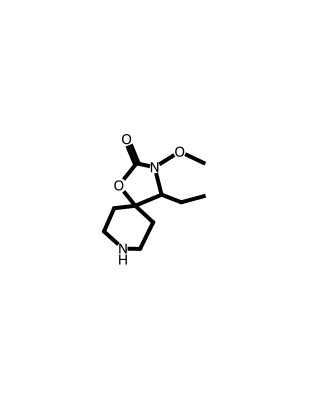 CCC1N(OC)C(=O)OC12CCNCC2